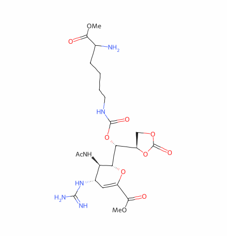 COC(=O)C1=C[C@H](NC(=N)N)[C@@H](NC(C)=O)[C@H]([C@H](OC(=O)NCCCCC(N)C(=O)OC)[C@H]2COC(=O)O2)O1